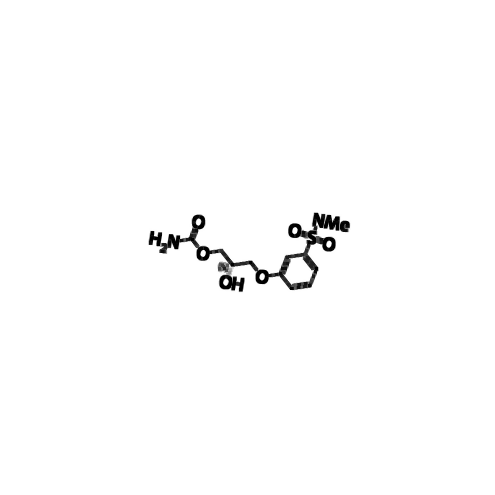 CNS(=O)(=O)c1cccc(OC[C@H](O)COC(N)=O)c1